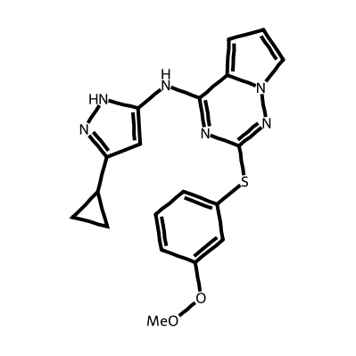 COOc1cccc(Sc2nc(Nc3cc(C4CC4)n[nH]3)c3cccn3n2)c1